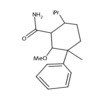 COC1C(C(N)=O)C(C(C)C)CCC1(C)c1ccccc1